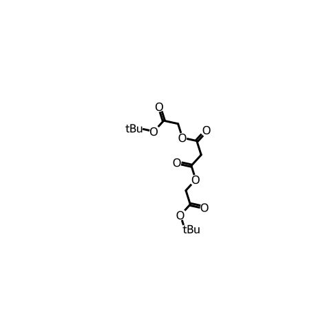 CC(C)(C)OC(=O)COC(=O)CC(=O)OCC(=O)OC(C)(C)C